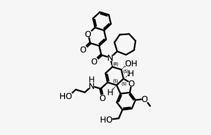 COc1cc(CO)cc2c1O[C@@H]1[C@@H](O)[C@H](N(C(=O)c3cc4ccccc4oc3=O)C3CCCCCC3)C=C(C(=O)NCCO)[C@H]21